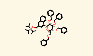 CC(C)[Si](OCc1cc([C@@H]2O[C@H](COCc3ccccc3)[C@@H](OCc3ccccc3)[C@H](OCc3ccccc3)[C@H]2OCc2ccccc2)c2ccccc2c1)(C(C)C)C(C)C